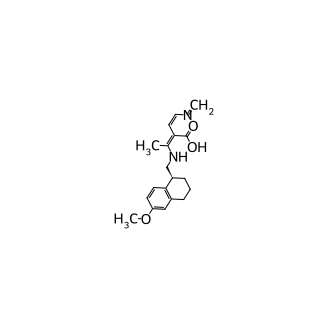 C=N/C=C\C(C(=O)O)=C(/C)NC[C@H]1CCCc2cc(OC)ccc21